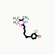 CC(C)C(C)NC(=O)C=CC=CC1CC1c1ccc(Br)c(Cl)c1